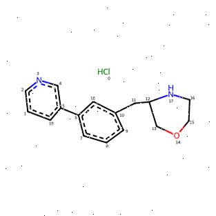 Cl.c1cncc(-c2cccc(CC3COCCN3)c2)c1